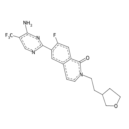 Nc1nc(-c2cc3ccn(CCC4CCOC4)c(=O)c3cc2F)ncc1C(F)(F)F